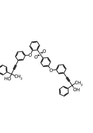 CC(O)(C#Cc1cccc(Oc2ccc(S(=O)(=O)c3ccccc3Oc3cccc(C#CC(C)(O)c4ccccc4)c3)cc2)c1)c1ccccc1